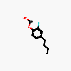 CCCCc1ccc(OBO)c(F)c1